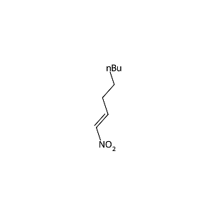 CCCCCC/C=C/[N+](=O)[O-]